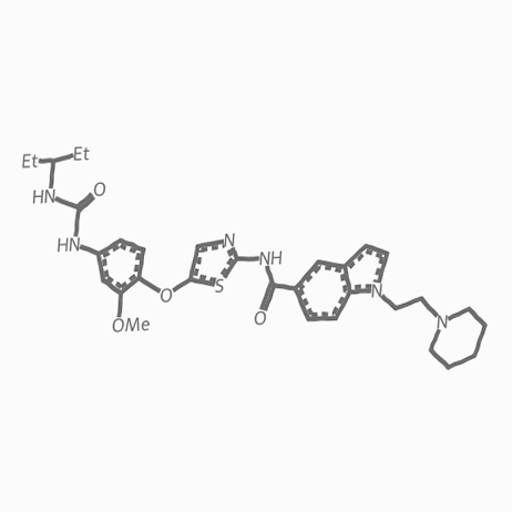 CCC(CC)NC(=O)Nc1ccc(Oc2cnc(NC(=O)c3ccc4c(ccn4CCN4CCCCC4)c3)s2)c(OC)c1